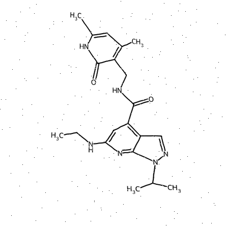 CCNc1cc(C(=O)NCc2c(C)cc(C)[nH]c2=O)c2cnn(C(C)C)c2n1